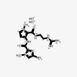 Cl.Cl.Cn1cc(N)nc1C(=O)Nc1ccn(C)c1C(=O)NCCNC(=N)N